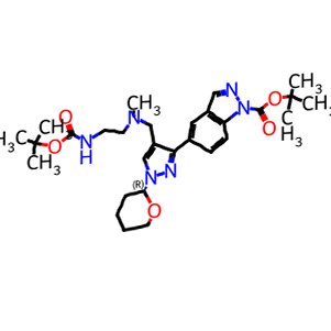 CN(CCNC(=O)OC(C)(C)C)Cc1cn([C@H]2CCCCO2)nc1-c1ccc2c(cnn2C(=O)OC(C)(C)C)c1